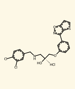 C[C@](O)(CNCc1ccc(Cl)c(Cl)c1)COc1cccc(-c2noc3ccsc23)c1.Cl